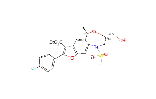 CCOC(=O)c1c(-c2ccc(F)cc2)oc2cc3c(cc12)[C@@H](C)O[C@H](CO)CN3S(C)(=O)=O